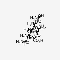 CC(C)[C@H](N)C(=O)OC[C@H](N)C(=O)OC[C@H](N)C(=O)OC(=O)[C@@H](N)COC(=O)[C@@H](N)CO.NC(=O)CC[C@H](N)C(=O)OC[C@H](N)C(=O)O